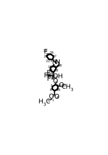 CCOC(=O)c1ccc(OCC(O)(c2ccc3c(cnn3-c3ccc(F)cc3)c2)C(F)(F)F)c(OC)c1